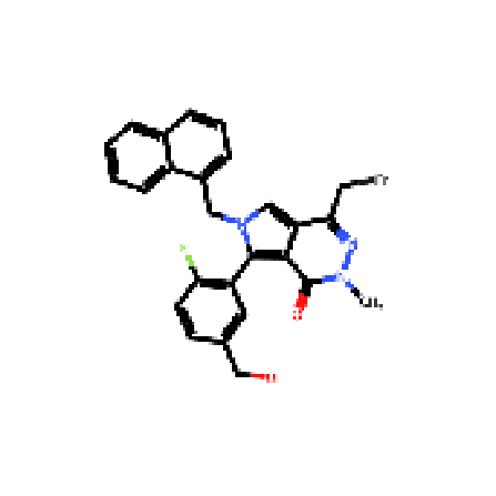 CC(C)Cc1nn(C)c(=O)c2c(-c3cc(CO)ccc3F)n(Cc3cccc4ccccc34)cc12